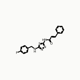 O=C(/C=C/c1ccccc1)Nc1nnc(NCc2ccc(F)cc2)s1